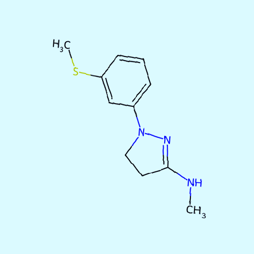 CNC1=NN(c2cccc(SC)c2)CC1